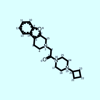 O=C(CN1CCc2c(oc3ccccc23)C1)N1CCN(C2CCC2)CC1